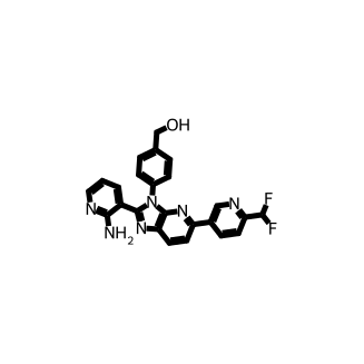 Nc1ncccc1-c1nc2ccc(-c3ccc(C(F)F)nc3)nc2n1-c1ccc(CO)cc1